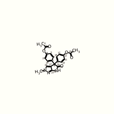 CC(=O)Oc1ccc(C2(c3ccc(OC(C)=O)cc3)C(=O)Nc3nn(C)cc32)cc1